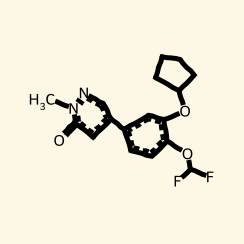 Cn1ncc(-c2ccc(OC(F)F)c(OC3CCCC3)c2)cc1=O